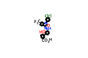 O=C(O)c1cccc(-c2cccc(N/N=C3\C(=O)N(c4ccc(Cl)c(Cl)c4)c4cc(C(F)(F)F)ccc43)c2O)c1